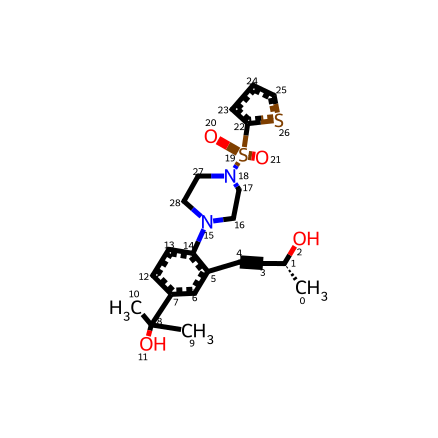 C[C@@H](O)C#Cc1cc(C(C)(C)O)ccc1N1CCN(S(=O)(=O)c2cccs2)CC1